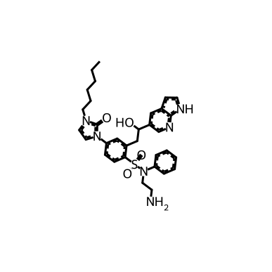 CCCCCCn1ccn(-c2ccc(S(=O)(=O)N(CCN)c3ccccc3)c(CC(O)c3cnc4[nH]ccc4c3)c2)c1=O